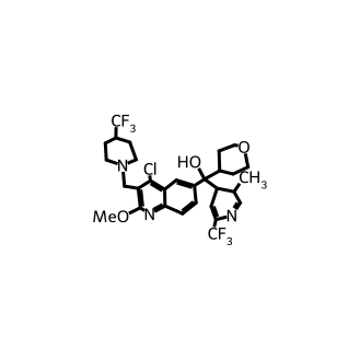 COc1nc2ccc(C(O)(C3CCOCC3)C3C=C(C(F)(F)F)N=CC3C)cc2c(Cl)c1CN1CCC(C(F)(F)F)CC1